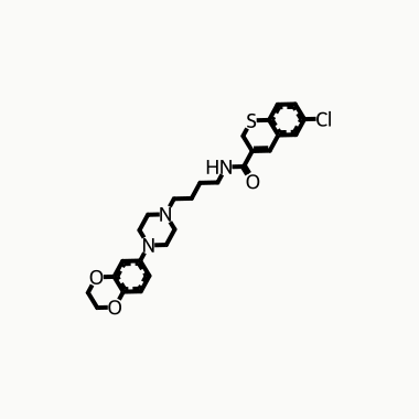 O=C(NCCCCN1CCN(c2ccc3c(c2)OCCO3)CC1)C1=Cc2cc(Cl)ccc2SC1